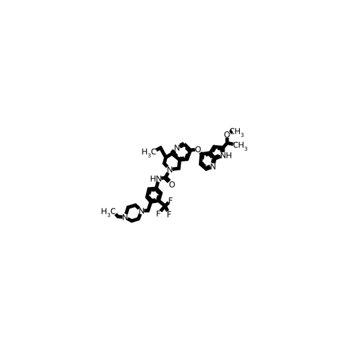 CCC1CN(C(=O)Nc2ccc(CN3CCN(CC)CC3)c(C(F)(F)F)c2)Cc2cc(Oc3ccnc4[nH]c(C(C)OC)cc34)cnc21